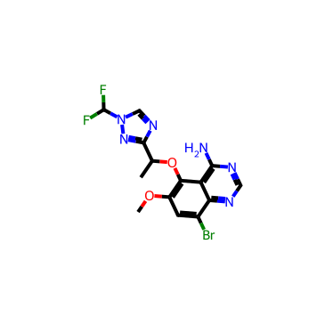 COc1cc(Br)c2ncnc(N)c2c1OC(C)c1ncn(C(F)F)n1